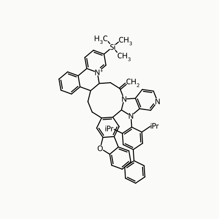 C=C1CC2C(CCc3cc4oc5ccccc5c4cc3C3N1c1ccncc1N3c1c(C(C)C)cc(-c3ccccc3)cc1C(C)C)c1ccccc1-c1ccc([Si](C)(C)C)c[n+]12